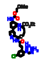 CCOC(=O)[C@@H]1CCCC[C@H](NC(=O)/C=C/c2cc(Cl)ccc2N(N)/C=N\N)c2cc(ccn2)-c2ccc(NC(=O)OCCOC)cc2N1